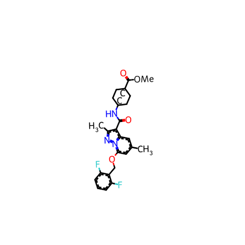 COC(=O)C12CCC(NC(=O)c3c(C)nn4c(OCc5c(F)cccc5F)cc(C)cc34)(CC1)CC2